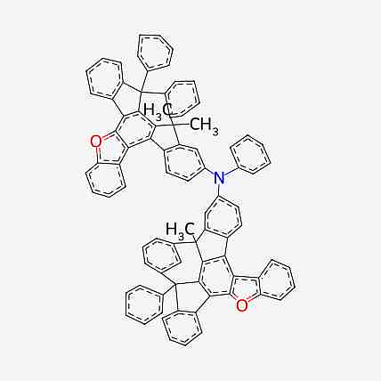 CC1(C)c2cc(N(c3ccccc3)c3ccc4c(c3)C3(C)c5cccc(c5)C5(c6ccccc6)c6ccccc6-c6c5c3c-4c3c6oc4ccccc43)ccc2-c2c1c1c(c3oc4ccccc4c23)-c2ccccc2C1(c1ccccc1)c1ccccc1